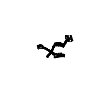 CCC(C)(/C=C/O)OC